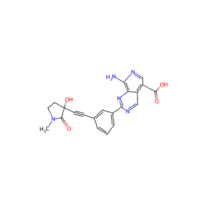 CN1CCC(O)(C#Cc2cccc(-c3ncc4c(C(=O)O)cnc(N)c4n3)c2)C1=O